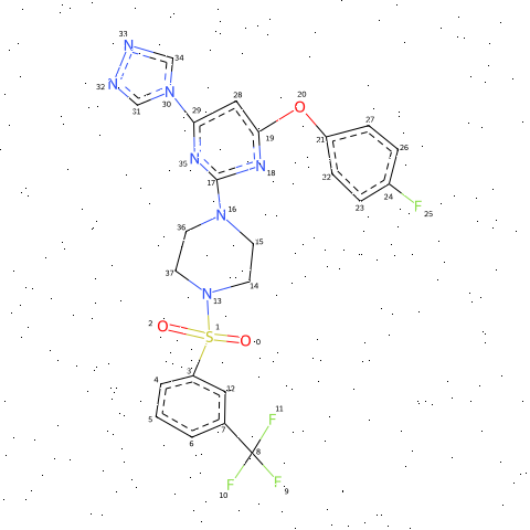 O=S(=O)(c1cccc(C(F)(F)F)c1)N1CCN(c2nc(Oc3ccc(F)cc3)cc(-n3cnnc3)n2)CC1